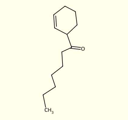 CCCCCCC(=O)C1C=CCCC1